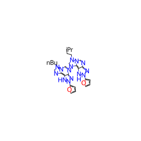 CC(C)CCN1C=NC2=C3NN(c4ccco4)N=C3N=CN21.CCCCN1C=NC2=C3NN(c4ccco4)N=C3N=CN21